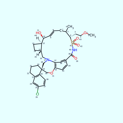 COCC[C@H]1C(C)C/C=C/[C@H](O)[C@@H]2CC[C@H]2CN2C[C@@]3(CCCc4cc(Cl)ccc43)COc3ccc(cc32)C(=O)NS1(=O)=O